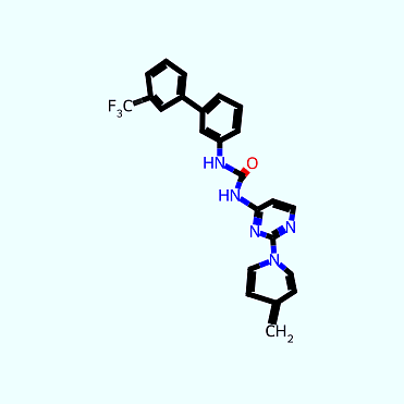 C=C1C=CN(c2nccc(NC(=O)Nc3cccc(-c4cccc(C(F)(F)F)c4)c3)n2)C=C1